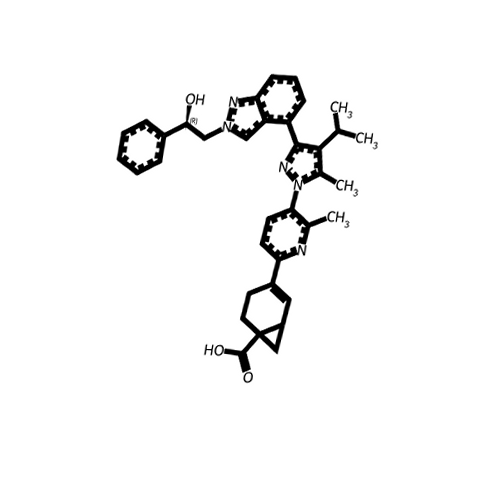 Cc1nc(C2=CC3CC3(C(=O)O)CC2)ccc1-n1nc(-c2cccc3nn(C[C@H](O)c4ccccc4)cc23)c(C(C)C)c1C